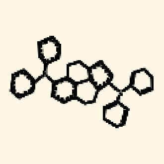 C1=CC(N(C2=CCCC=C2)c2ccc3c4c2CCc2ccc(N(c5ccccc5)c5ccccc5)c(c2-4)CC3)=CCC1